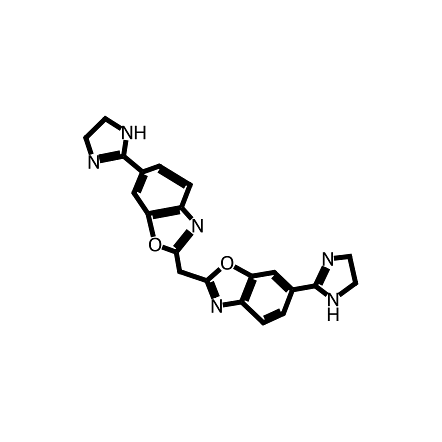 c1cc2nc(Cc3nc4ccc(C5=NCCN5)cc4o3)oc2cc1C1=NCCN1